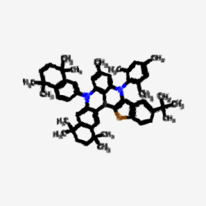 Cc1cc(C)c(N2c3cc(C)cc4c3B(c3cc5c(cc3N4c3ccc4c(c3)C(C)(C)CCC4(C)C)C(C)(C)CCC5(C)C)c3sc4ccc(C(C)(C)C)cc4c32)c(C)c1